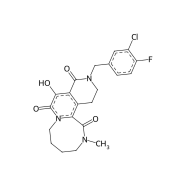 CN1CCCCn2c(c3c(c(O)c2=O)C(=O)N(Cc2ccc(F)c(Cl)c2)CC3)C1=O